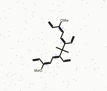 C=C/C(=C\C=C(/C=C)C(C)(C)/C(C=C)=C/C=C(\C=C)OC)OC